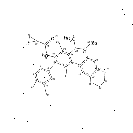 Cc1ccc(-c2c(C)c(-c3ccc4c(c3)CCCO4)c(C(OC(C)(C)C)C(=O)O)c(C)c2NC(=O)C2CC2)cc1C